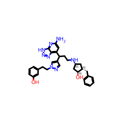 Nc1cc(C(CCN[C@H]2C[C@H](Cc3ccccc3)[C@@H](O)C2)c2cnn(CCc3cccc(O)c3)c2)c2nn[nH]c2n1